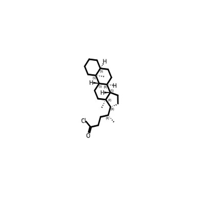 C[C@H](CCC(=O)Cl)[C@H]1CC[C@H]2[C@@H]3CC[C@@H]4CCCC[C@]4(C)[C@H]3CC[C@]12C